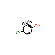 Oc1ccc(Cl)cc1.[NaH]